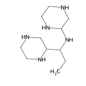 [CH2]CC(NC1CNCCN1)C1CNCCN1